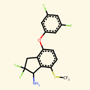 NC1c2c(SC(F)(F)F)ccc(Oc3cc(F)cc(F)c3)c2CC1(F)F